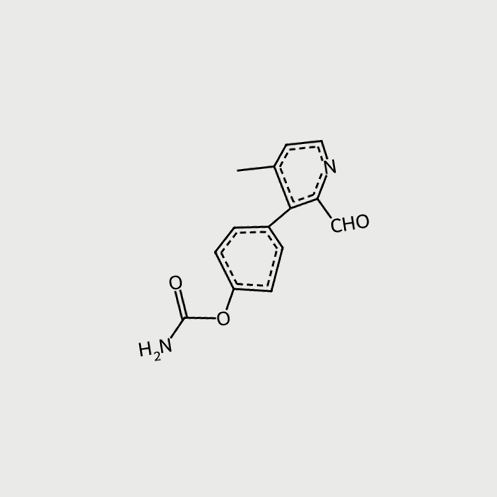 Cc1ccnc(C=O)c1-c1ccc(OC(N)=O)cc1